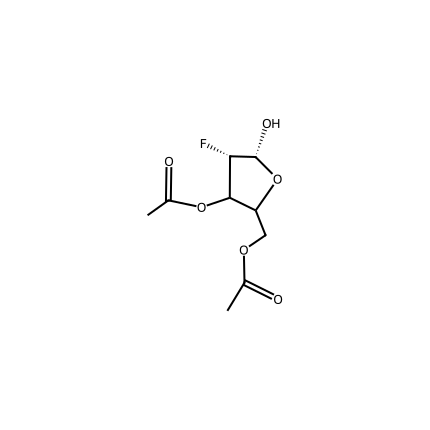 CC(=O)OCC1O[C@@H](O)[C@@H](F)C1OC(C)=O